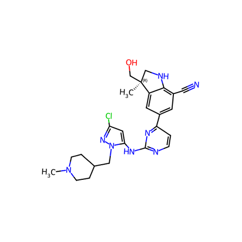 CN1CCC(Cn2nc(Cl)cc2Nc2nccc(-c3cc(C#N)c4c(c3)[C@@](C)(CO)CN4)n2)CC1